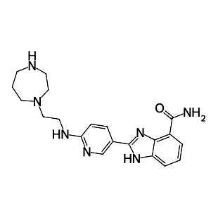 NC(=O)c1cccc2[nH]c(-c3ccc(NCCN4CCCNCC4)nc3)nc12